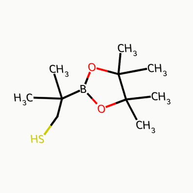 CC(C)(CS)B1OC(C)(C)C(C)(C)O1